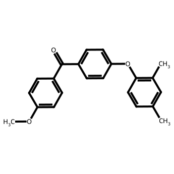 COc1ccc(C(=O)c2ccc(Oc3ccc(C)cc3C)cc2)cc1